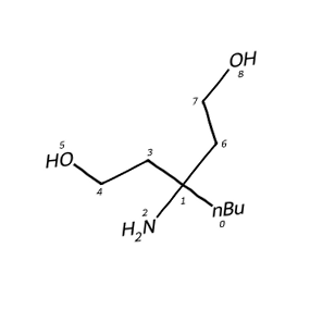 CCCCC(N)(CCO)CCO